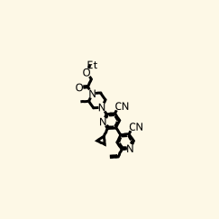 C=Cc1cc(-c2cc(C#N)c(N3CCN(C(=O)COCC)C(C)C3)nc2C2CC2)c(C#N)cn1